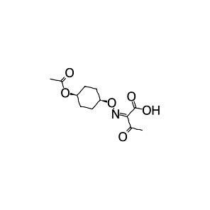 CC(=O)O[C@H]1CC[C@@H](ON=C(C(C)=O)C(=O)O)CC1